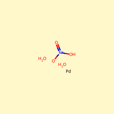 O.O.O=[N+]([O-])O.[Pd]